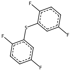 Fc1ccc(F)c(Sc2cc(F)ccc2F)c1